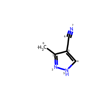 [CH2]c1n[nH]cc1C#N